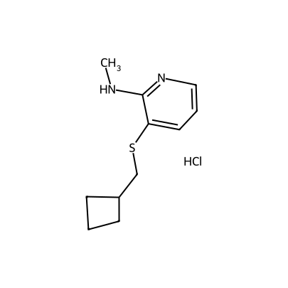 CNc1ncccc1SCC1CCC1.Cl